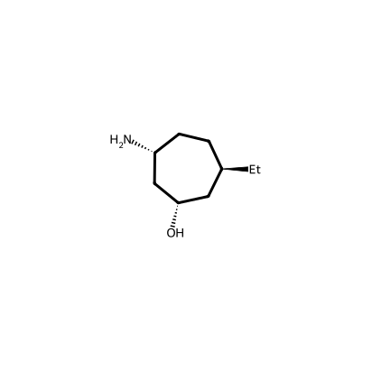 CC[C@@H]1CC[C@@H](N)C[C@@H](O)C1